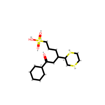 O=C(CC(CCCS(=O)(=O)O)C1CSCCS1)C1CCCCC1